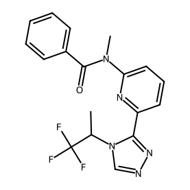 CC(n1cnnc1-c1cccc(N(C)C(=O)c2ccccc2)n1)C(F)(F)F